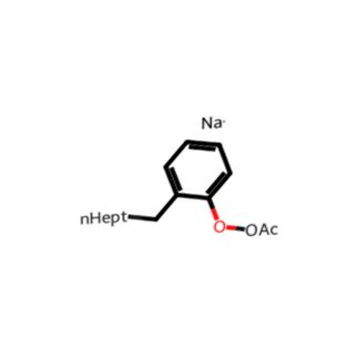 CCCCCCCCc1ccccc1OOC(C)=O.[Na]